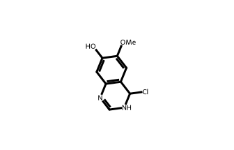 COc1cc2c(cc1O)N=CNC2Cl